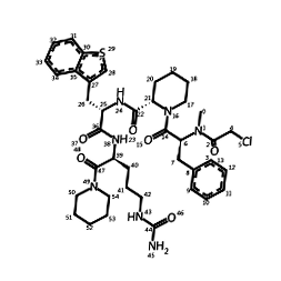 CN(C(=O)CCl)[C@@H](Cc1ccccc1)C(=O)N1CCCC[C@H]1C(=O)N[C@@H](Cc1csc2ccccc12)C(=O)N[C@@H](CCCNC(N)=O)C(=O)N1CCCCC1